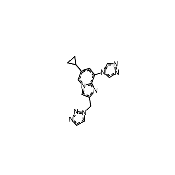 c1cn(Cc2cn3cc(C4CC4)cc(-n4cnnc4)c3n2)nn1